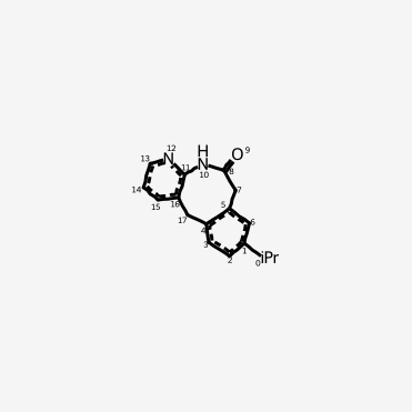 CC(C)c1ccc2c(c1)CC(=O)Nc1ncccc1C2